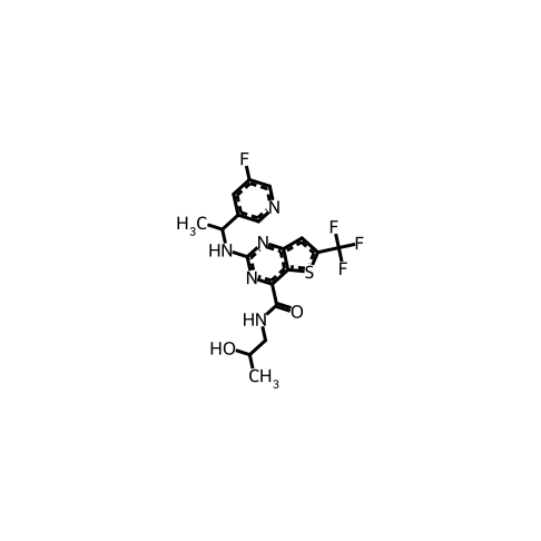 CC(O)CNC(=O)c1nc(NC(C)c2cncc(F)c2)nc2cc(C(F)(F)F)sc12